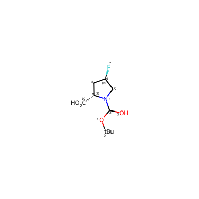 CC(C)(C)OC(O)N1C[C@H](F)C[C@H]1C(=O)O